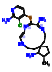 CC1CCC2(CC\N=C(N)/C(Sc3ccnc(N)c3Cl)=N\C=C\NCC2)C1N